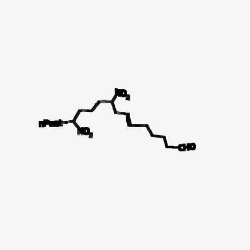 CCCCCC(CCCC(CC=CCCCCC=O)[N+](=O)[O-])[N+](=O)[O-]